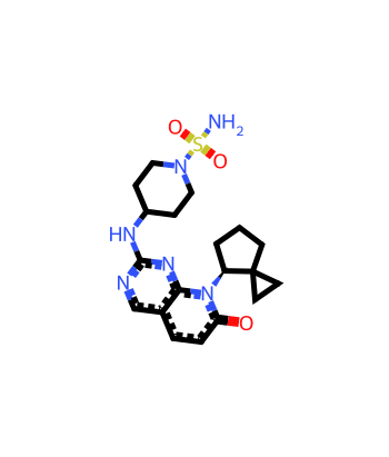 NS(=O)(=O)N1CCC(Nc2ncc3ccc(=O)n([C@H]4CCCC45CC5)c3n2)CC1